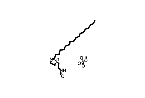 CCCCCCCCCCCCCCCCCC1=NCC[N+]1(C)CCNC=O.COS(=O)(=O)[O-]